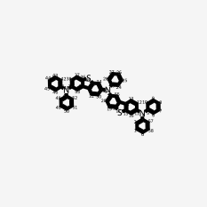 c1ccc(N(c2ccccc2)c2ccc3c(c2)sc2ccc(N(c4ccccc4)c4ccc5c(c4)sc4ccc(N(c6ccccc6)c6ccccc6)cc45)cc23)cc1